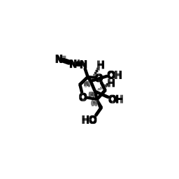 [N-]=[N+]=NC12CO[C@@](CO)(CO1)[C@H](O)[C@@H]2O